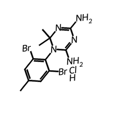 Cc1cc(Br)c(N2C(N)=NC(N)=NC2(C)C)c(Br)c1.Cl